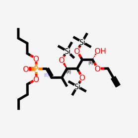 C#CCO[C@@H](O)C(O[Si](C)(C)C)C(O[Si](C)(C)C)[C@H](O[Si](C)(C)C)C(C)/C=C/P(=O)(OCCCC)OCCCC